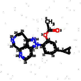 CC(=O)Oc1cc(C2CC2)ccc1-n1nc2c3c(nccc31)C=NC=C2